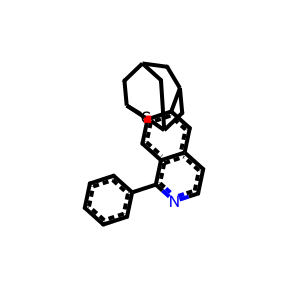 c1ccc(-c2nccc3cc4c(cc23)C2CC3CC(CC4C3)C2)cc1